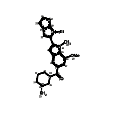 CCn1c(-c2cc3cc(C(=O)N4CCC[C@@H](N)C4)cc(OC)c3n2C)cc2ccsc21